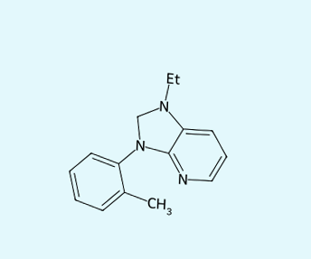 CCN1CN(c2ccccc2C)c2ncccc21